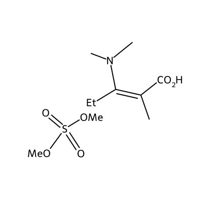 CCC(=C(C)C(=O)O)N(C)C.COS(=O)(=O)OC